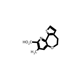 Cc1cc2c(nc1C(=O)O)-c1sccc1CCO2